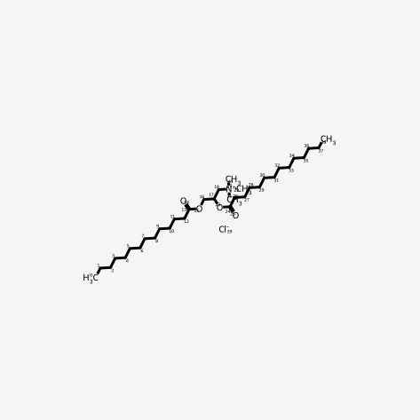 CCCCCCCCCCCCCC(=O)OCC(C[N+](C)(C)C)OC(=O)CCCCCCCCCCCCC.[Cl-]